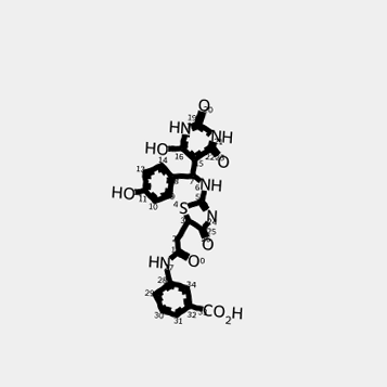 O=C(CC1SC(NC(c2ccc(O)cc2)c2c(O)[nH]c(=O)[nH]c2=O)=NC1=O)Nc1cccc(C(=O)O)c1